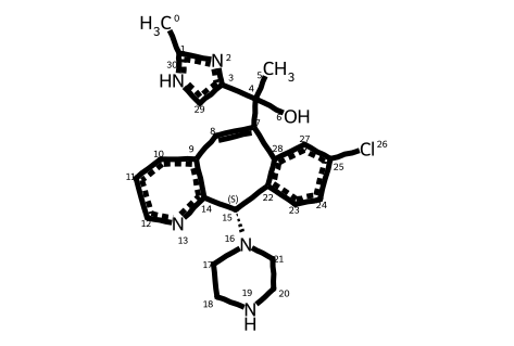 Cc1nc(C(C)(O)C2=Cc3cccnc3[C@@H](N3CCNCC3)c3ccc(Cl)cc32)c[nH]1